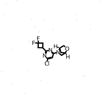 FC1(F)CC(c2nc(Cl)cc(N3C[C@@H]4C[C@H]3CO4)n2)C1